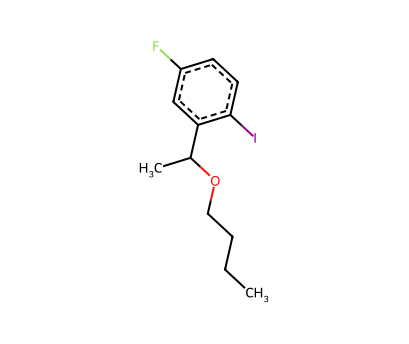 CCCCOC(C)c1cc(F)ccc1I